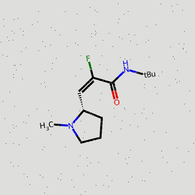 CN1CCC[C@H]1/C=C(/F)C(=O)NC(C)(C)C